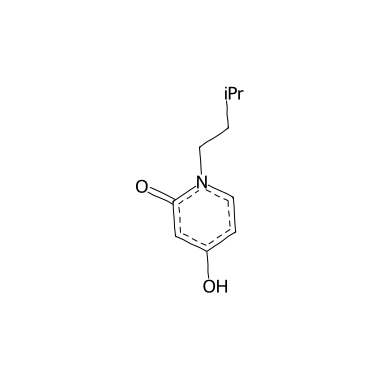 CC(C)CCn1ccc(O)cc1=O